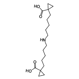 O=C(O)C1(CCCCCNCCCCCC2(C(=O)O)CC2)CC1